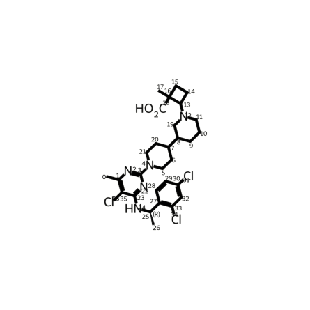 Cc1nc(N2CCC(C3CCCN(C4CCC4(C)C(=O)O)C3)CC2)nc(N[C@H](C)c2ccc(Cl)cc2Cl)c1Cl